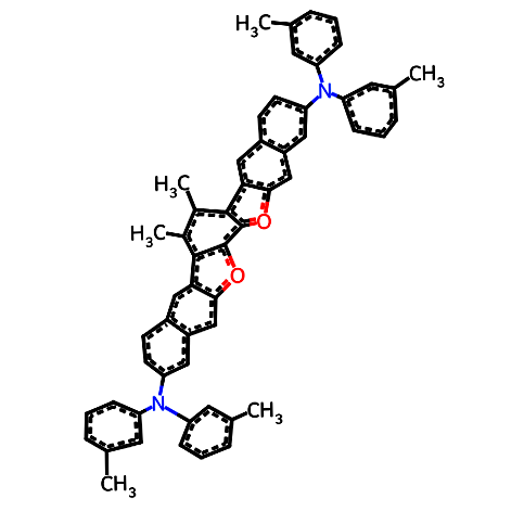 Cc1cccc(N(c2cccc(C)c2)c2ccc3cc4c(cc3c2)oc2c3oc5cc6cc(N(c7cccc(C)c7)c7cccc(C)c7)ccc6cc5c3c(C)c(C)c42)c1